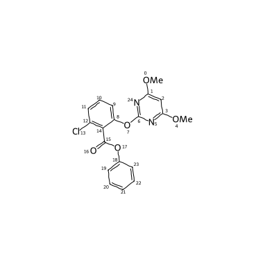 COc1cc(OC)nc(Oc2cccc(Cl)c2C(=O)Oc2ccccc2)n1